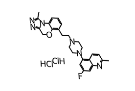 Cc1ccc2c(N3CCN(CCc4cccc5c4OCc4nnc(C)n4-5)CC3)cc(F)cc2n1.Cl.Cl